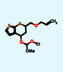 C=CCOCC1CC(OC(OC)OCC)c2ccsc2S1